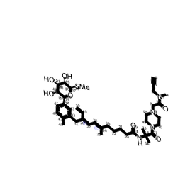 C#CCN(C)C(=O)CN1CCN(C(=O)C(C)(C)NC(=O)CCCC/C(C)=C/C=C(\C=C)Cc2cc([C@@H]3O[C@H](SC)[C@@H](O)[C@H](O)[C@H]3O)ccc2C)CC1